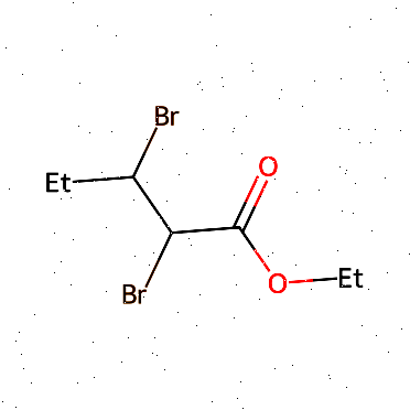 CCOC(=O)C(Br)C(Br)CC